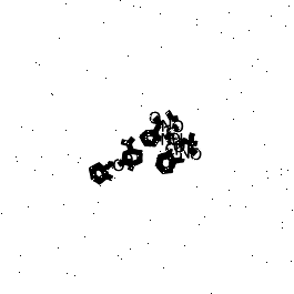 CC(C)N1C(=O)c2ccccc2NS1(=O)=O.CC1(C)CON(Cc2ccccc2Cl)C1=O.Cc1ccccc1COC1CC2(C(C)C)CCC1(C)O2